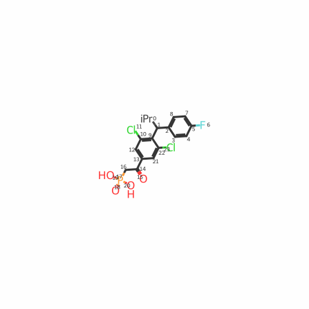 CC(C)C(c1ccc(F)cc1)c1c(Cl)cc(C(=O)CP(=O)(O)O)cc1Cl